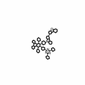 c1ccc(-c2nc(-c3ccccc3)nc(-c3ccc(-c4c(-c5ccc(-n6c7ccccc7c7cc(-c8ccc9oc%10ccccc%10c9c8)ccc76)cc5)c(-c5ccccc5)c5c6ccccc6c6ccccc6c5c4-c4ccccc4)cc3)n2)cc1